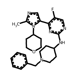 Cc1ncc(-c2nc(NC3CCN(Cc4ccccc4)CC3)ncc2F)n1C1CCOCC1